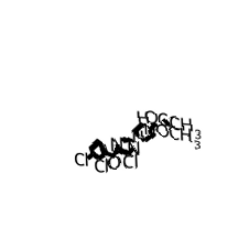 CC(C)(C)OC(=O)N1CCN(c2cnc(C(=O)c3cccc(Cl)c3Cl)c(Cl)n2)CC1